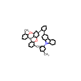 Cc1cccc(-n2c3ccccc3c3cc(-c4ccccc4-c4cc5c6c(c4)Oc4c(C)cccc4B6c4cccc(C)c4O5)ccc32)c1